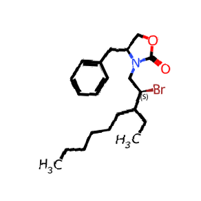 CCCCCCC(CC)[C@H](Br)CN1C(=O)OCC1Cc1ccccc1